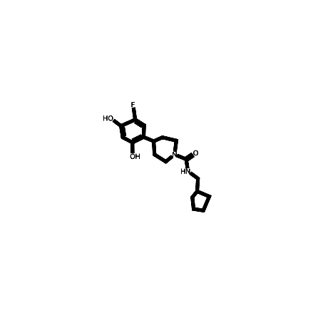 O=C(NCC1CCCC1)N1CCC(c2cc(F)c(O)cc2O)CC1